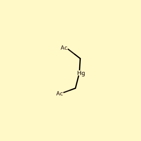 CC(=O)[CH2][Hg][CH2]C(C)=O